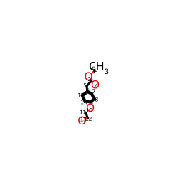 CCOC(=O)Cc1ccc(OCC=O)cc1